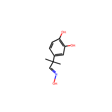 CC(C)(C=NO)c1ccc(O)c(O)c1